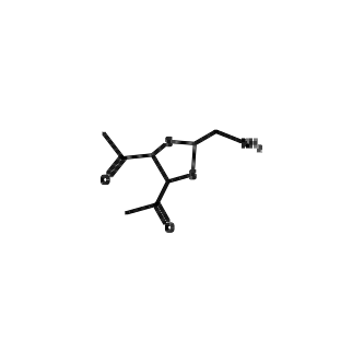 CC(=O)C1SC(CN)SC1C(C)=O